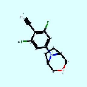 C#Cc1c(F)cc(N2C3CCC2COC3)cc1F